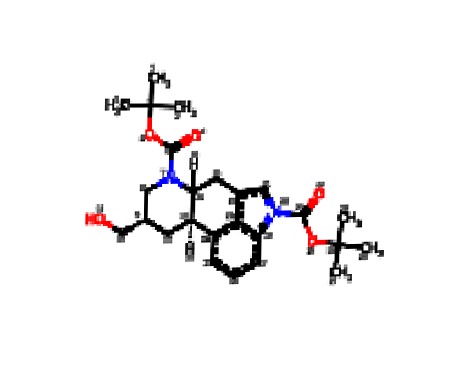 CC(C)(C)OC(=O)N1C[C@H](CO)C[C@@H]2c3cccc4c3c(cn4C(=O)OC(C)(C)C)C[C@H]21